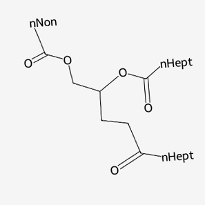 CCCCCCCCCC(=O)OCC(CCC(=O)CCCCCCC)OC(=O)CCCCCCC